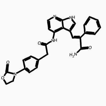 NC(=O)/C(=C/c1c[nH]c2nccc(NC(=O)Cc3ccc(N4CCOC4=O)cc3)c12)c1ccccc1